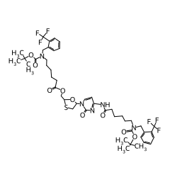 CC(C)(C)OC(=O)N(CCCCCC(=O)Nc1ccn(C2CSC(COC(=O)CCCCCN(Cc3ccccc3C(F)(F)F)C(=O)OC(C)(C)C)O2)c(=O)n1)Cc1ccccc1C(F)(F)F